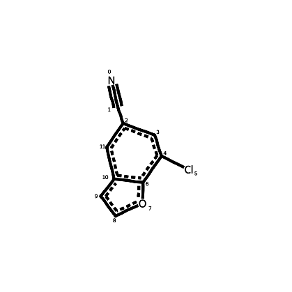 N#Cc1cc(Cl)c2occc2c1